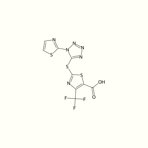 O=C(O)c1sc(Sc2nnnn2-c2nccs2)nc1C(F)(F)F